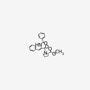 COC(=O)[C@H]1CCCN1C(=O)/C(=C/c1ccccc1)NC(=O)c1ccccc1